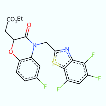 CCOC(=O)CC1Oc2ccc(F)cc2N(Cc2nc3c(F)c(F)cc(F)c3s2)C1=O